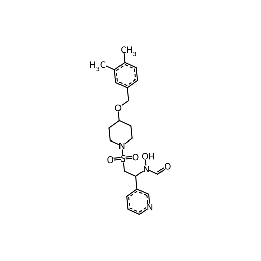 Cc1ccc(COC2CCN(S(=O)(=O)CC(c3cccnc3)N(O)C=O)CC2)cc1C